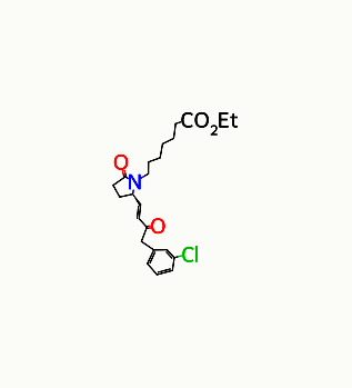 CCOC(=O)CCCCCCN1C(=O)CC[C@@H]1C=CC(=O)Cc1cccc(Cl)c1